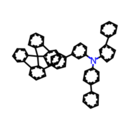 c1ccc(-c2ccc(N(c3cccc(-c4ccccc4)c3)c3cccc(-c4ccc(-c5cccc6c5C5(c7ccccc7-c7ccccc75)c5ccccc5-6)cc4)c3)cc2)cc1